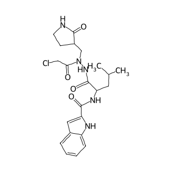 CC(C)CC(NC(=O)c1cc2ccccc2[nH]1)C(=O)NN(CC1CCNC1=O)C(=O)CCl